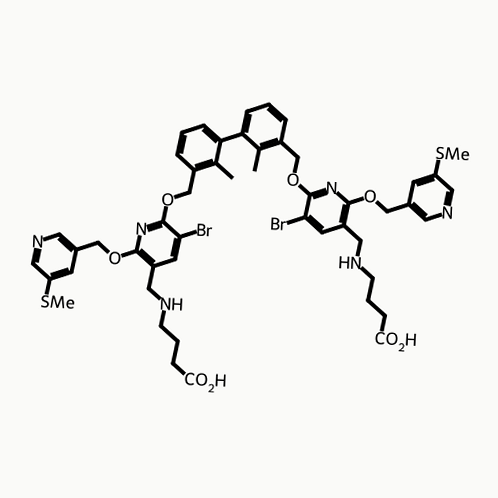 CSc1cncc(COc2nc(OCc3cccc(-c4cccc(COc5nc(OCc6cncc(SC)c6)c(CNCCCC(=O)O)cc5Br)c4C)c3C)c(Br)cc2CNCCCC(=O)O)c1